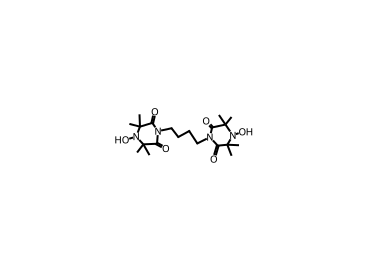 CC1(C)C(=O)N(CCCCN2C(=O)C(C)(C)N(O)C(C)(C)C2=O)C(=O)C(C)(C)N1O